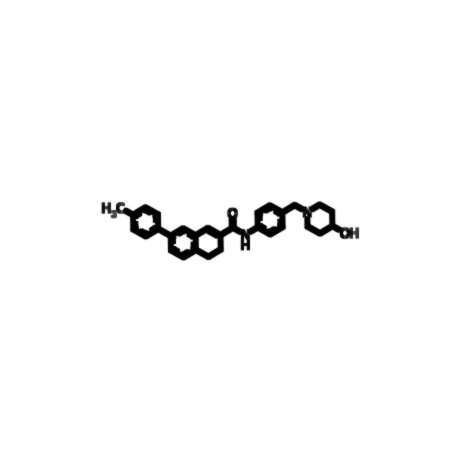 Cc1ccc(-c2ccc3c(c2)C=C(C(=O)Nc2ccc(CN4CCC(O)CC4)cc2)CC3)cc1